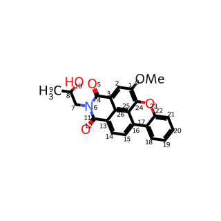 COc1cc2c(=O)n(CC(C)O)c(=O)c3ccc4c5ccccc5oc1c4c32